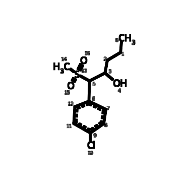 CCCC(O)C(c1ccc(Cl)cc1)S(C)(=O)=O